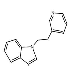 [c]1cn(CCc2cccnc2)c2ccccc12